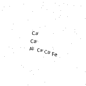 [Al].[Ca].[Ca].[Ca].[Ca].[Fe]